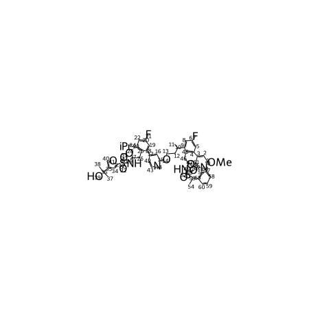 COc1cc(-c2cc(F)cc(C(C)CCOc3cc(-c4cc(F)cc(C(C)C)c4CC(=O)NS(=O)(=O)c4cc(C(C)(C)O)co4)ccn3)c2CC(=O)NS(=O)(=O)C(C)c2ccccc2)ccn1